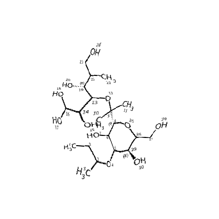 CCC(C)OC1C(O)[C@H](C(C)(C)OC(C(O)C(O)O)[C@H](O)C(C)CO)OC(CO)[C@H]1O